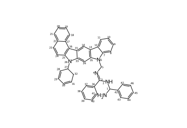 NC(N/C(=N\Cn1c2ccccc2c2cc3c4c5ccccc5ccc4n(C4C=CC=CC4)c3cc21)c1ccccc1)c1ccccc1